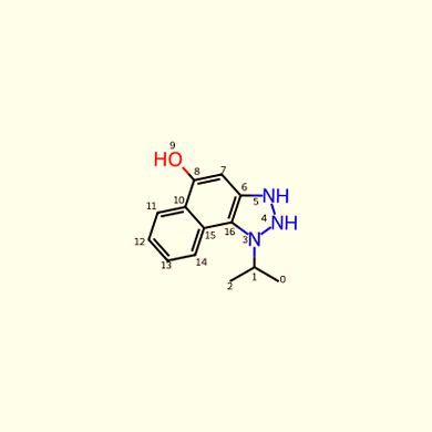 CC(C)N1NNc2cc(O)c3ccccc3c21